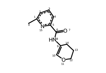 Cc1cccc(C(=O)NC2=COCCC2)n1